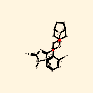 Cn1c(CCCN2C3CCC2CC(OCc2ccccc2F)C3)nc(=O)n1C